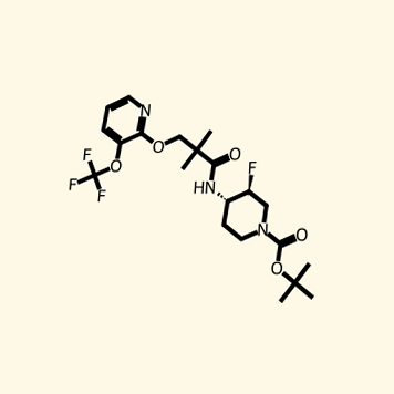 CC(C)(C)OC(=O)N1CC[C@H](NC(=O)C(C)(C)COc2ncccc2OC(F)(F)F)[C@@H](F)C1